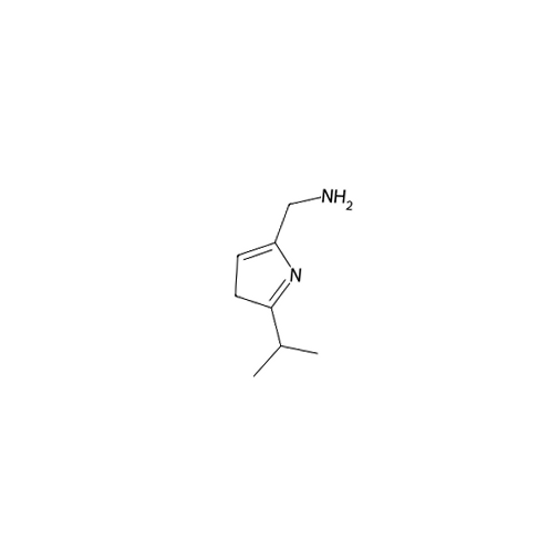 CC(C)C1=NC(CN)=CC1